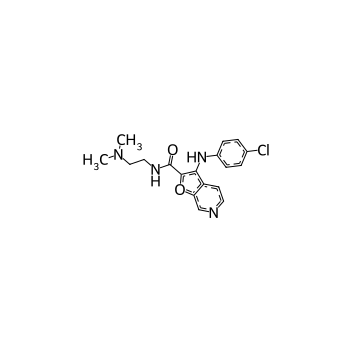 CN(C)CCNC(=O)c1oc2cnccc2c1Nc1ccc(Cl)cc1